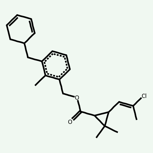 C/C(Cl)=C\C1C(C(=O)OCc2cccc(CC3C=CC=CC3)c2C)C1(C)C